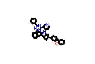 c1ccc(-c2nc(-c3ccccc3)nc(-c3cnccc3-n3c4ccccc4c4ccc(-c5ccc6c(c5)oc5ccccc56)cc43)n2)cc1